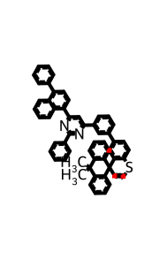 CC1(C)c2ccccc2C2(c3ccccc3Sc3ccc(-c4cccc(-c5cc(-c6ccc(-c7ccccc7)c7ccccc67)nc(-c6ccccc6)n5)c4)cc32)c2ccccc21